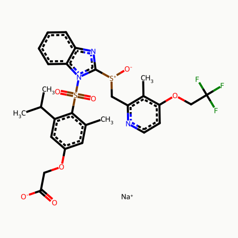 Cc1cc(OCC(=O)[O-])cc(C(C)C)c1S(=O)(=O)n1c([S+]([O-])Cc2nccc(OCC(F)(F)F)c2C)nc2ccccc21.[Na+]